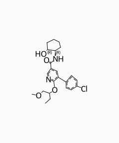 CCC(COC)Oc1ncc(C(=O)N[C@@H]2CCCC[C@H]2O)cc1-c1ccc(Cl)cc1